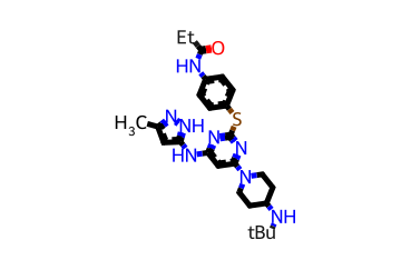 CCC(=O)Nc1ccc(Sc2nc(Nc3cc(C)n[nH]3)cc(N3CCC(NC(C)(C)C)CC3)n2)cc1